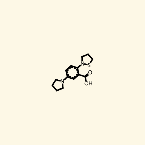 O=C(O)c1cc(N2CCCC2)ccc1N1CCCS1